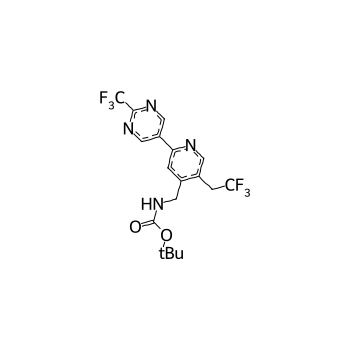 CC(C)(C)OC(=O)NCc1cc(-c2cnc(C(F)(F)F)nc2)ncc1CC(F)(F)F